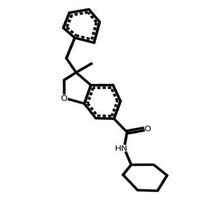 CC1(Cc2ccccc2)COc2cc(C(=O)NC3CCCCC3)ccc21